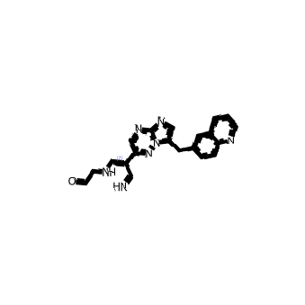 N=C/C(=C\NCC=O)c1cnc2ncc(Cc3ccc4ncccc4c3)n2n1